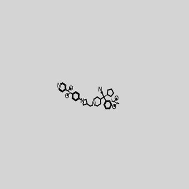 CS(=O)(=O)C[C@H]1CCC[C@@H]1C(C#N)(c1ccccc1)C1CCN(CC2CN(c3ccc(S(=O)(=O)c4ccncc4)cc3)C2)CC1